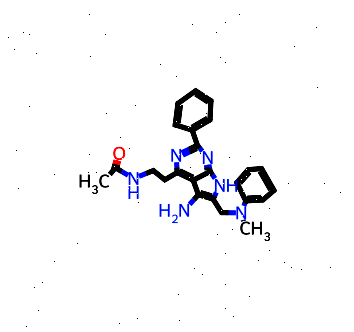 CC(=O)NCCc1nc(-c2ccccc2)nc2[nH]c(CN(C)c3ccccc3)c(N)c12